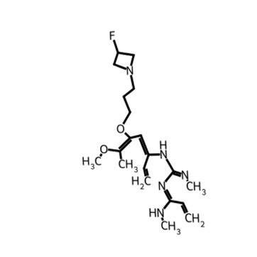 C=C/C(=C\C(OCCCN1CC(F)C1)=C(/C)OC)NC(=N/C)/N=C(\C=C)NC